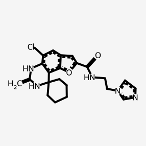 C=C1Nc2c(Cl)cc3cc(C(=O)NCCn4ccnc4)oc3c2C2(CCCCC2)N1